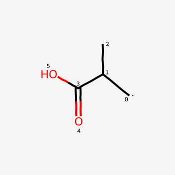 [CH2]C(C)C(=O)O